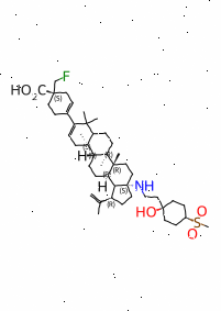 C=C(C)[C@@H]1CC[C@]2(NCC[C@]3(O)CC[C@@H](S(C)(=O)=O)CC3)CC[C@]3(C)[C@H](CC[C@@H]4[C@@]5(C)CC=C(C6=CC[C@](CF)(C(=O)O)CC6)C(C)(C)C5CC[C@]43C)C12